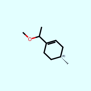 COC(C)C1=CC[C@H](C)CC1